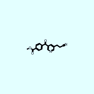 COC(=O)c1ccc(C(=O)c2cncc(CCC#N)c2)cc1